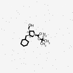 CC(C)(C)OC(=O)N1C[C@@H](CO)[C@H](CC2CCCCC2)C1